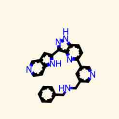 c1ccc(CNCc2cncc(-c3ccc4[nH]nc(-c5cc6cnccc6[nH]5)c4n3)c2)cc1